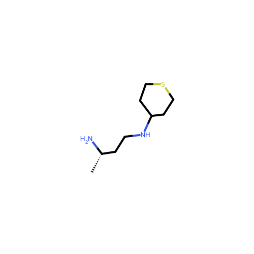 C[C@H](N)CCNC1CCSCC1